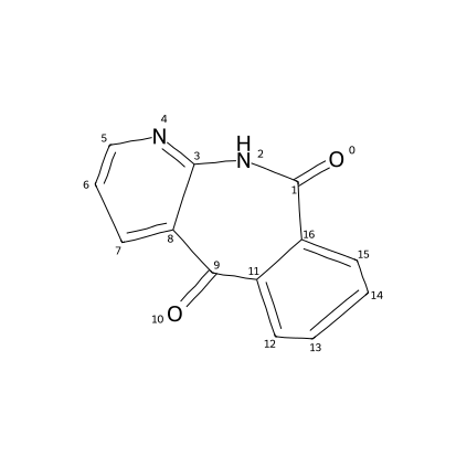 O=c1[nH]c2ncccc2c(=O)c2ccccc12